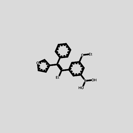 CCOc1cc(B(O)O)cc(/C(CC)=C(\c2ccccc2)c2ccoc2)c1